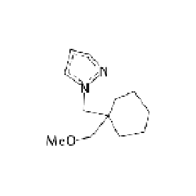 COCC1(Cn2cccn2)CCCCC1